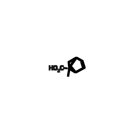 C[C@@]1(C(=O)O)CC2C=CC1C2